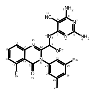 CCCC(Nc1nc(N)nc(N)c1C#N)c1nc2cccc(F)c2c(=O)n1-c1cc(C)cc(F)c1